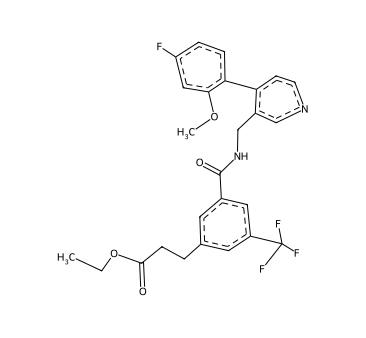 CCOC(=O)CCc1cc(C(=O)NCc2cnccc2-c2ccc(F)cc2OC)cc(C(F)(F)F)c1